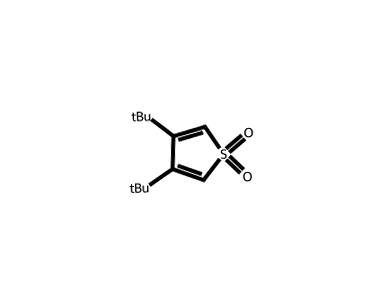 CC(C)(C)C1=CS(=O)(=O)C=C1C(C)(C)C